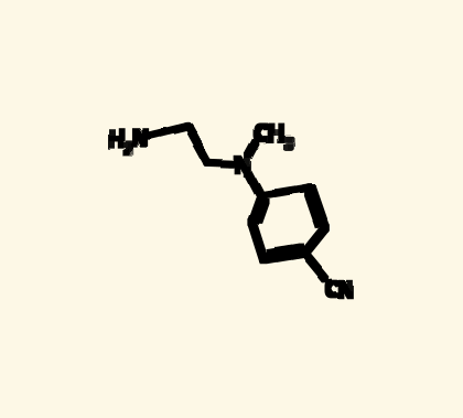 CN(CCN)c1ccc(C#N)cc1